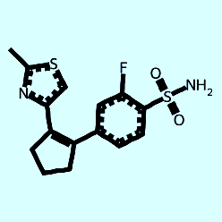 Cc1nc(C2=C(c3ccc(S(N)(=O)=O)c(F)c3)CCC2)cs1